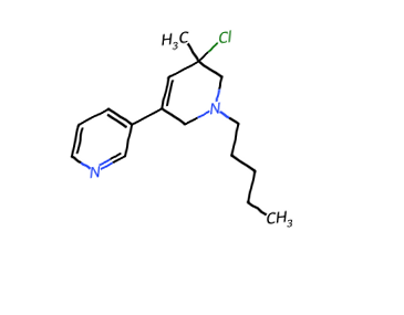 CCCCCN1CC(c2cccnc2)=CC(C)(Cl)C1